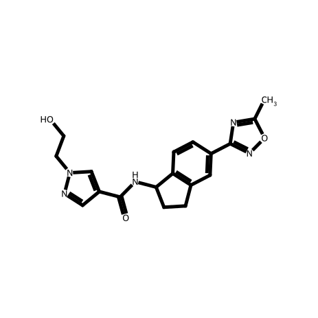 Cc1nc(-c2ccc3c(c2)CCC3NC(=O)c2cnn(CCO)c2)no1